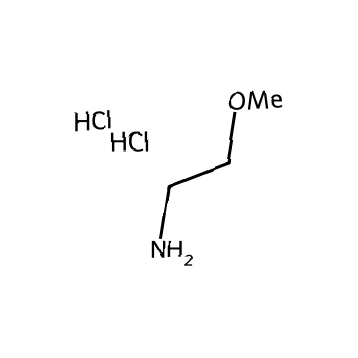 COCCN.Cl.Cl